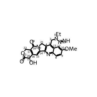 CCN(Cc1c2c(nc3ccc(OC)cc13)-c1cc3c(c(=O)n1C2)COC(=O)[C@H]3O)N=N